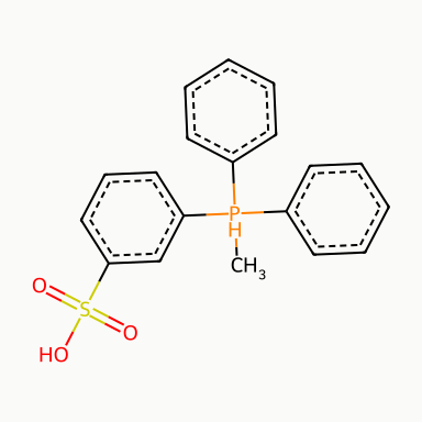 C[PH](c1ccccc1)(c1ccccc1)c1cccc(S(=O)(=O)O)c1